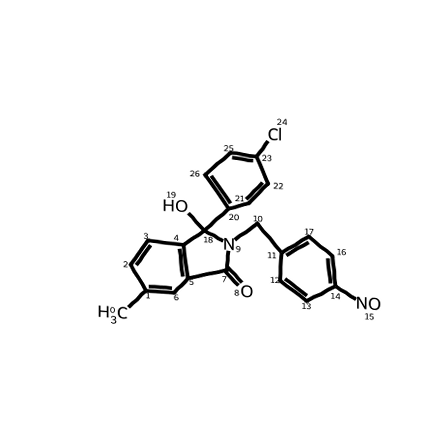 Cc1ccc2c(c1)C(=O)N(Cc1ccc(N=O)cc1)C2(O)c1ccc(Cl)cc1